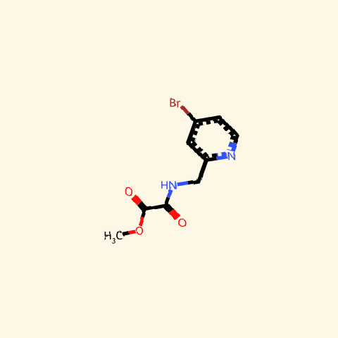 COC(=O)C(=O)NCc1cc(Br)ccn1